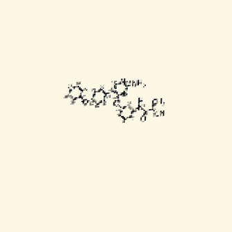 C=C(C#N)C(=O)Nc1cccc(Oc2nc(N)ncc2-c2ccc(Oc3ccccc3)cc2)c1